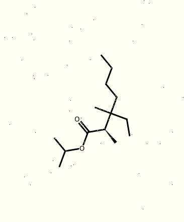 CCCCC(C)(CC)[C@@H](C)C(=O)OC(C)C